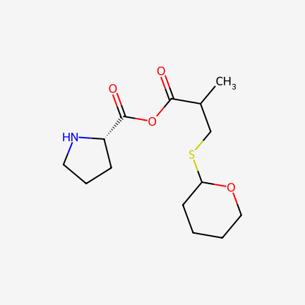 CC(CSC1CCCCO1)C(=O)OC(=O)[C@@H]1CCCN1